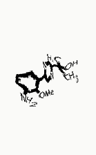 COc1c(N)cccc1-c1cnc(C(C)(C)O)cn1